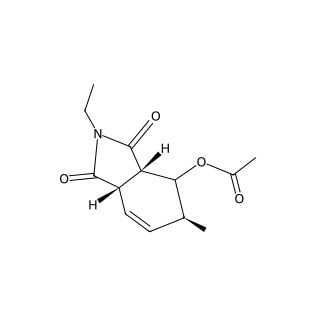 CCN1C(=O)[C@H]2C=C[C@H](C)C(OC(C)=O)[C@H]2C1=O